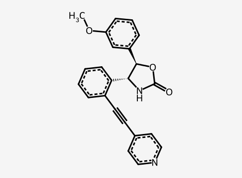 COc1cccc([C@H]2OC(=O)N[C@@H]2c2ccccc2C#Cc2ccncc2)c1